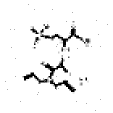 C=CCN(CC=C)C(=O)C(Cl)Cl.CP(=O)(O)CCC(N)C(=O)O.N